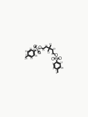 Cc1ccc(S(=O)(=O)OCCC(C)(C)CCOS(=O)(=O)c2ccc(C)cc2)cc1